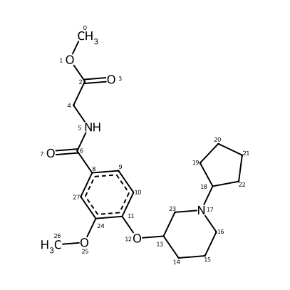 COC(=O)CNC(=O)c1ccc(OC2CCCN(C3CCCC3)C2)c(OC)c1